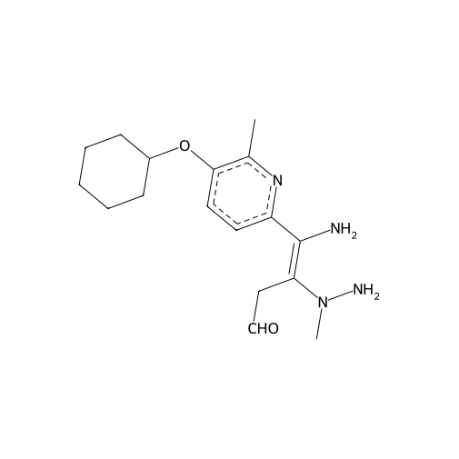 Cc1nc(/C(N)=C(\CC=O)N(C)N)ccc1OC1CCCCC1